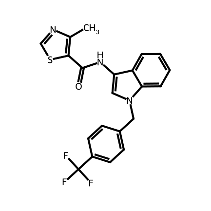 Cc1ncsc1C(=O)Nc1cn(Cc2ccc(C(F)(F)F)cc2)c2ccccc12